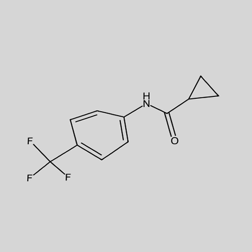 O=C(Nc1ccc(C(F)(F)F)cc1)C1CC1